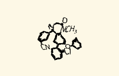 CN1C(=O)CN=C(c2cccc(C#N)c2)c2cc(-c3ccccc3Cl)c(Oc3ccccc3)cc21